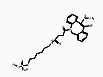 COP(=O)(OCCCCCCNC(=O)CCC(=O)N1Cc2ccccc2/C(N)=C(/NN)c2ccccc21)OC(C)C